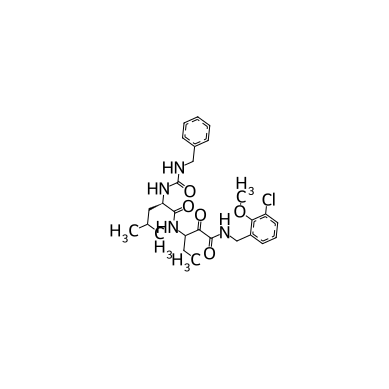 CCC(NC(=O)[C@@H](CC(C)C)NC(=O)NCc1ccccc1)C(=O)C(=O)NCc1cccc(Cl)c1OC